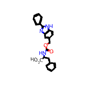 O=C(NC(Cc1ccccc1)C(=O)O)OCc1ccc2[nH]c(-c3ccccc3)nc2c1